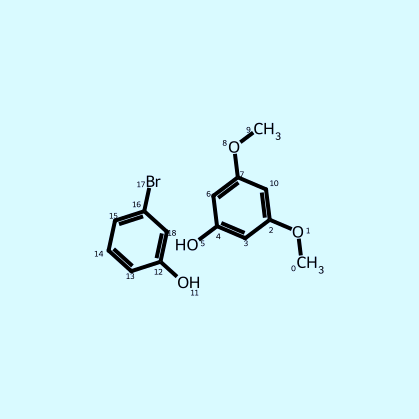 COc1cc(O)cc(OC)c1.Oc1cccc(Br)c1